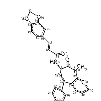 CN1C(=O)[C@H](NC(=O)/C=C/c2ccc3c(c2)OCO3)N=C(c2ccccc2)c2ccccc21